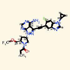 C=CC(=O)N1C[C@@H](n2nc(C#Cc3cc4ncn(C5CC5)c4cc3F)c3c(N)ncnc32)C[C@@H]1COC(F)(F)F